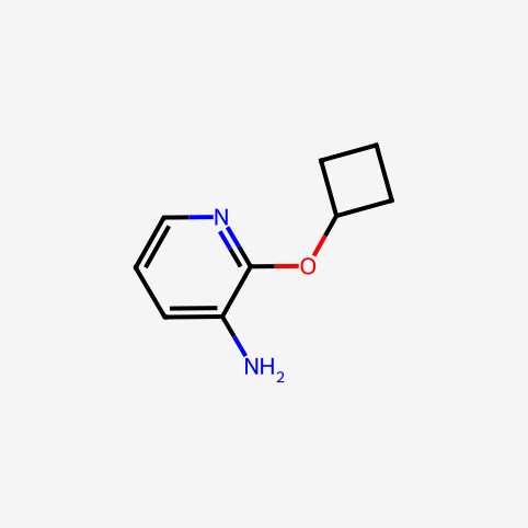 Nc1cccnc1OC1CCC1